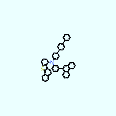 c1ccc(-c2ccc(-c3ccc(N(c4cccc(-c5cc6ccccc6c6ccccc56)c4)c4cccc5sc6c7ccccc7ccc6c45)cc3)cc2)cc1